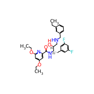 CCOc1cc(OCC)nc(C(=O)N[C@@H](Cc2cc(F)cc(F)c2)[C@@H](O)CNCc2cccc(CC)c2)c1